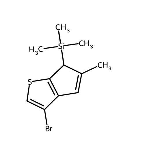 CC1=Cc2c(Br)csc2C1[Si](C)(C)C